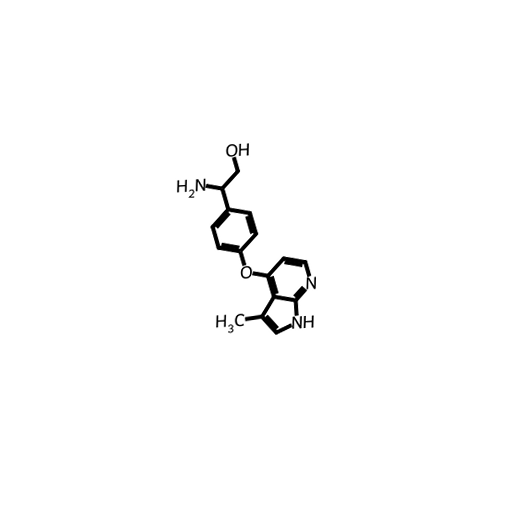 Cc1c[nH]c2nccc(Oc3ccc(C(N)CO)cc3)c12